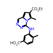 CCOC(=O)c1cc2cnnc(Nc3cc(C(=O)O)ccc3C)n2c1C